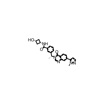 C[C@H](c1cccc(C(=O)N[C@H]2C[C@@H](O)C2)c1)n1cnc2cc(-c3ccnn3C)ccc2c1=O